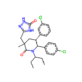 CCC(CC)N1C(=O)C(C)(Cc2n[nH]c(=O)[nH]2)CC(c2cccc(Cl)c2)C1c1ccc(Cl)cc1